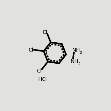 Cl.Clc1cccc(Cl)c1Cl.NN